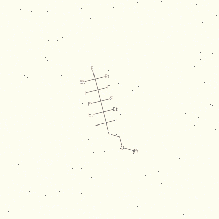 CCC(F)(CC)C(F)(F)C(F)(F)C(CC)(CC)C(C)(C)CCOC(C)C